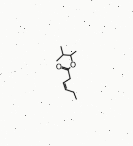 CC/C=C\CC(=O)OC(C)C(C)C